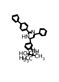 CC(C)(O)C(C)(C)Bc1cccc(C2C=C(c3ccccc3)N=C(c3ccc(-c4ccccc4)cc3)N2)c1